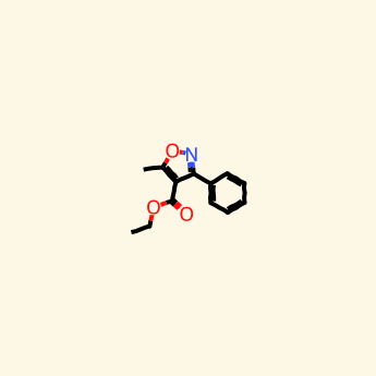 CCOC(=O)c1c(-c2ccccc2)noc1C